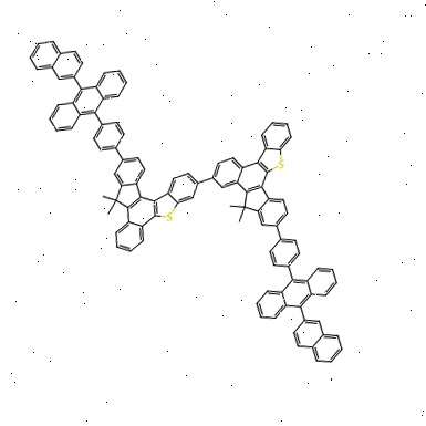 CC1(C)c2cc(-c3ccc(-c4c5ccccc5c(-c5ccc6ccccc6c5)c5ccccc45)cc3)ccc2-c2c1c1ccccc1c1sc3cc(-c4ccc5c(c4)c4c(c6sc7ccccc7c65)-c5ccc(-c6ccc(-c7c8ccccc8c(-c8ccc9ccccc9c8)c8ccccc78)cc6)cc5C4(C)C)ccc3c21